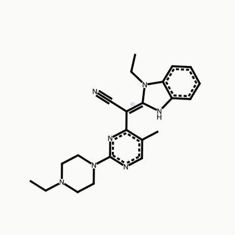 CCN1CCN(c2ncc(C)c(/C(C#N)=C3\Nc4ccccc4N3CC)n2)CC1